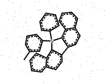 Cc1cccc([Si]2(c3ccccc3)c3c(ccc4ccccc34)-c3ccc4ccccc4c32)c1